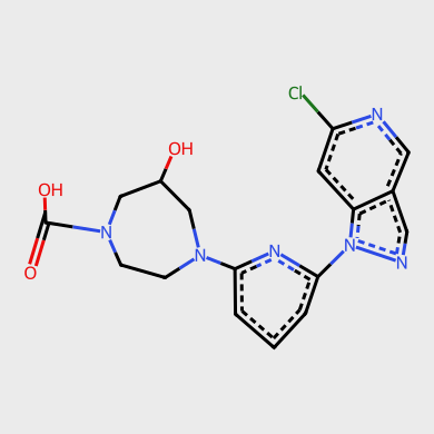 O=C(O)N1CCN(c2cccc(-n3ncc4cnc(Cl)cc43)n2)CC(O)C1